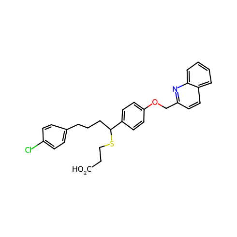 O=C(O)CCSC(CCCc1ccc(Cl)cc1)c1ccc(OCc2ccc3ccccc3n2)cc1